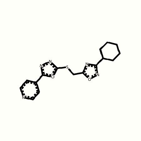 c1cc(-c2nnc(SCc3nc(C4CCCCC4)no3)o2)ccn1